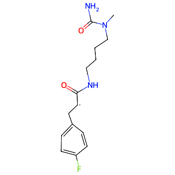 CN(CCCCNC(=O)[CH]Cc1ccc(F)cc1)C(N)=O